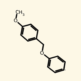 COc1ccc(COc2cc[c]cc2)cc1